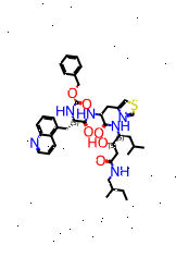 CCC(C)CNC(=O)C[C@H](O)[C@H](CC(C)C)NC(=O)C(Cc1cscn1)NC(=O)[C@H](Cc1cccc2ncccc12)NC(=O)OCc1ccccc1